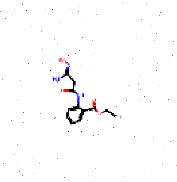 CCOC(=O)c1ccccc1NC(=O)C/C(N)=N/O